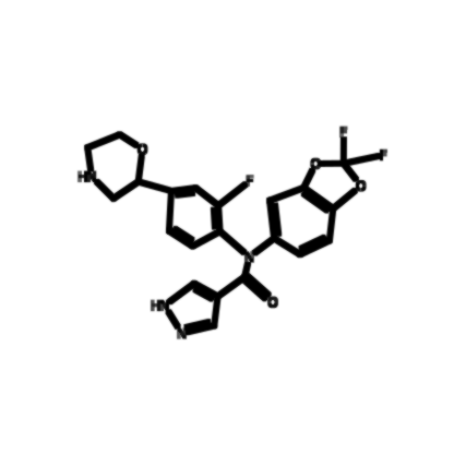 O=C(c1cn[nH]c1)N(c1ccc2c(c1)OC(F)(F)O2)c1ccc(C2CNCCO2)cc1F